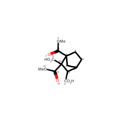 COC(=O)C12CCC(C1)C(C(=O)O)C2(C(=O)O)C(=O)OC